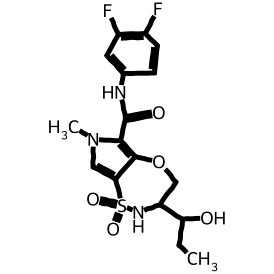 CCC(O)C1COc2c(cn(C)c2C(=O)Nc2ccc(F)c(F)c2)S(=O)(=O)N1